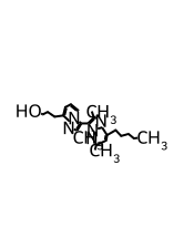 CCCCCc1cc(C)nn2c(-c3c(C)nc4c(CCCO)cccn34)c(C)nc12